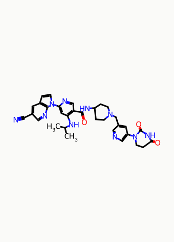 CC(C)Nc1cc(-n2ccc3cc(C#N)cnc32)ncc1C(=O)NC1CCN(Cc2cncc(N3CCC(=O)NC3=O)c2)CC1